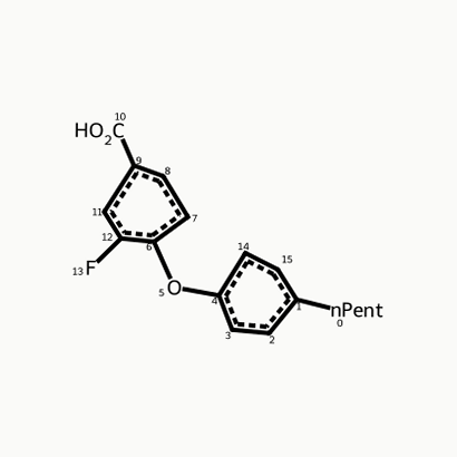 CCCCCc1ccc(Oc2ccc(C(=O)O)cc2F)cc1